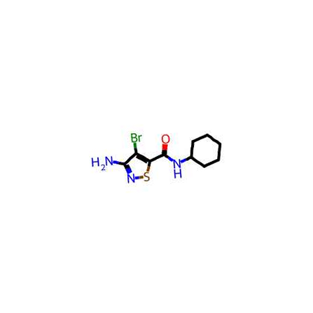 Nc1nsc(C(=O)NC2CCCCC2)c1Br